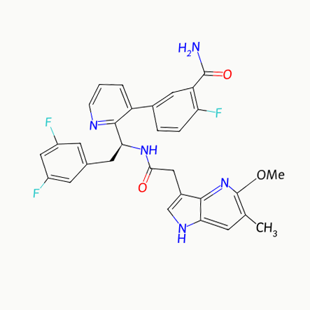 COc1nc2c(CC(=O)N[C@@H](Cc3cc(F)cc(F)c3)c3ncccc3-c3ccc(F)c(C(N)=O)c3)c[nH]c2cc1C